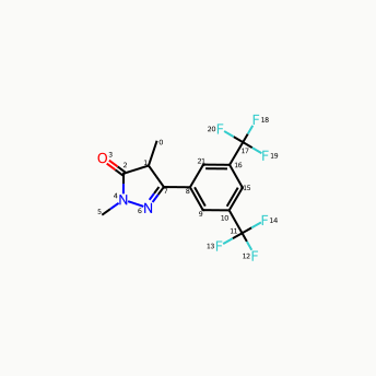 CC1C(=O)N(C)N=C1c1cc(C(F)(F)F)cc(C(F)(F)F)c1